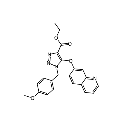 CCOC(=O)c1nnn(Cc2ccc(OC)cc2)c1Oc1ccc2cccnc2c1